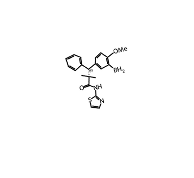 Bc1cc([C@@H](c2ccccc2)C(C)(C)C(=O)Nc2nccs2)ccc1OC